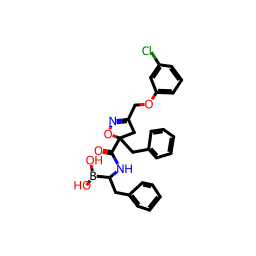 O=C(NC(Cc1ccccc1)B(O)O)C1(Cc2ccccc2)CC(COc2cccc(Cl)c2)=NO1